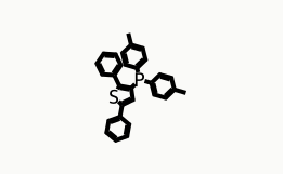 Cc1ccc(P(c2ccc(C)cc2)c2cc(-c3ccccc3)sc2-c2ccccc2)cc1